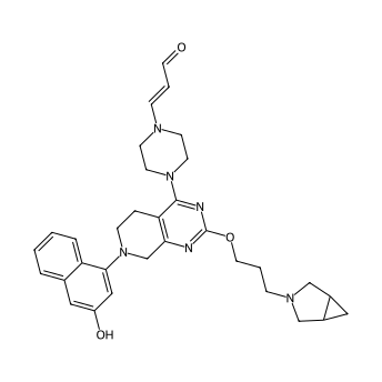 O=CC=CN1CCN(c2nc(OCCCN3CC4CC4C3)nc3c2CCN(c2cc(O)cc4ccccc24)C3)CC1